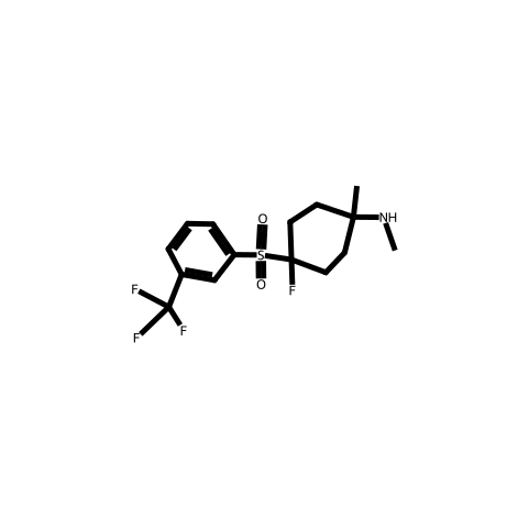 CNC1(C)CCC(F)(S(=O)(=O)c2cccc(C(F)(F)F)c2)CC1